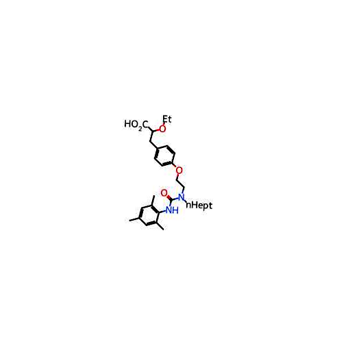 CCCCCCCN(CCOc1ccc(CC(OCC)C(=O)O)cc1)C(=O)Nc1c(C)cc(C)cc1C